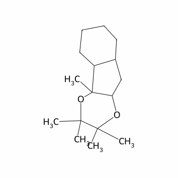 CC12OC(C)(C)C(C)(C)OC1CC1CCCCC12